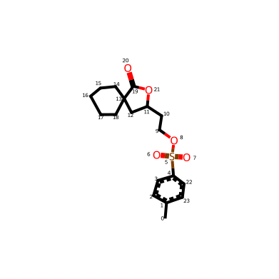 Cc1ccc(S(=O)(=O)OCCC2CC3(CCCCC3)C(=O)O2)cc1